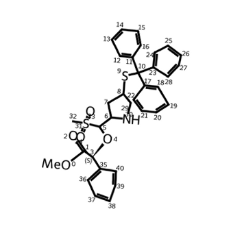 COC(=O)[C@@H](OC(C1CC(SC(c2ccccc2)(c2ccccc2)c2ccccc2)CN1)S(C)(=O)=O)c1ccccc1